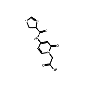 O=C(O)Cn1ccc(NC(=O)C2CSC=N2)cc1=O